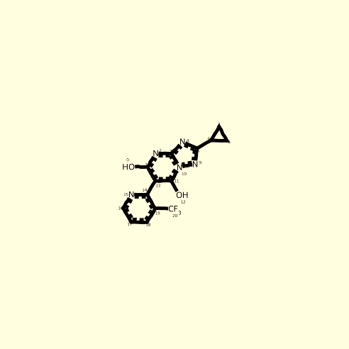 Oc1nc2nc(C3CC3)nn2c(O)c1-c1ncccc1C(F)(F)F